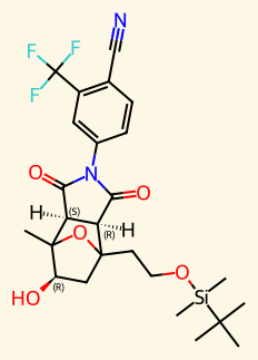 CC12OC(CCO[Si](C)(C)C(C)(C)C)(C[C@H]1O)[C@@H]1C(=O)N(c3ccc(C#N)c(C(F)(F)F)c3)C(=O)[C@@H]12